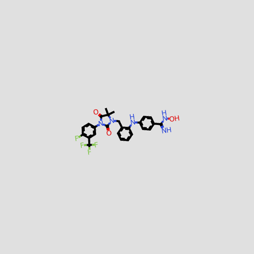 CC1(C)C(=O)N(c2ccc(F)c(C(F)(F)F)c2)C(=O)N1Cc1ccccc1Nc1ccc(C(=N)NO)cc1